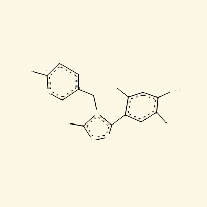 CC(C)c1cc(-c2nnc(S)n2Cc2ccc(Cl)nc2)c(O)cc1O